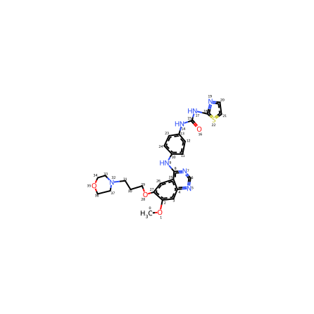 COc1cc2ncnc(Nc3ccc(NC(=O)Nc4nccs4)cc3)c2cc1OCCCN1CCOCC1